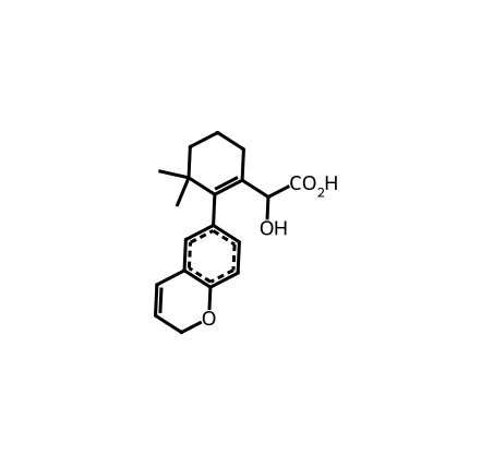 CC1(C)CCCC(C(O)C(=O)O)=C1c1ccc2c(c1)C=CCO2